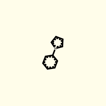 [c]1ccc(-n2cccc2)cc1